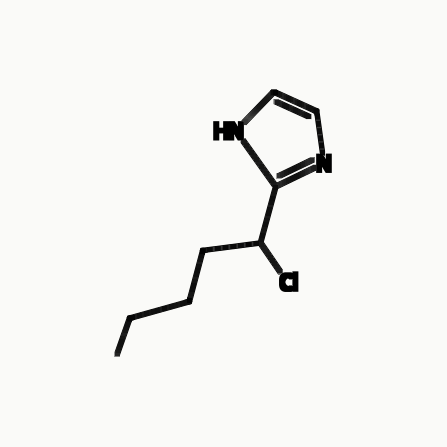 CCCCC(Cl)c1ncc[nH]1